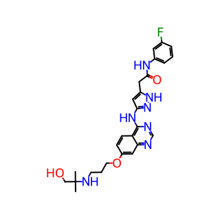 CC(C)(CO)NCCCOc1ccc2c(Nc3cc(CC(=O)Nc4cccc(F)c4)[nH]n3)ncnc2c1